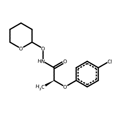 C[C@H](Oc1ccc(Cl)cc1)C(=O)NOC1CCCCO1